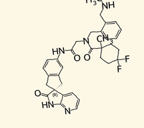 CNCc1ccccc1CN(CC(=O)Nc1ccc2c(c1)C[C@@]1(C2)C(=O)Nc2ncccc21)C(=O)C1(C)CCC(F)(F)CC1